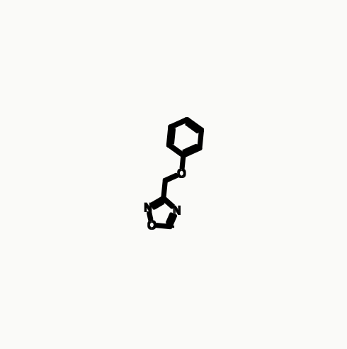 [c]1nc(COc2ccccc2)no1